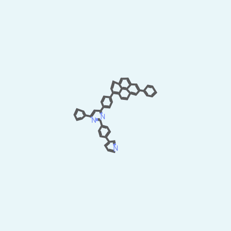 c1ccc(-c2cc3ccc4ccc(-c5ccc(-c6cc(-c7ccccc7)nc(-c7ccc(-c8cccnc8)cc7)n6)cc5)c5ccc(c2)c3c45)cc1